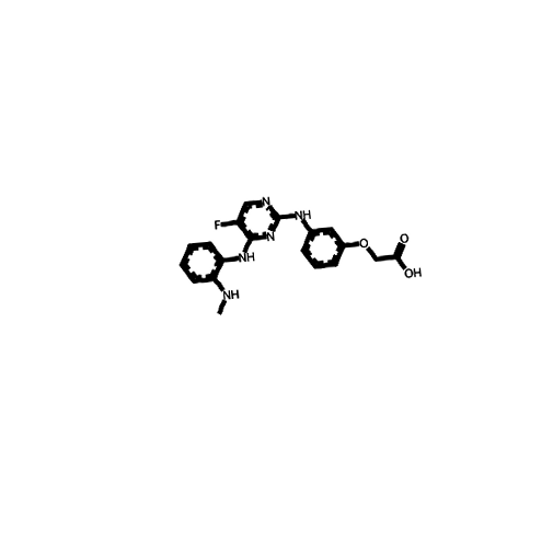 CNc1ccccc1Nc1nc(Nc2cccc(OCC(=O)O)c2)ncc1F